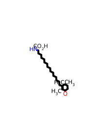 CC1=C(CCCCCCCCCCCCCCCCNC(=O)O)C(C)(C)CCC1=O